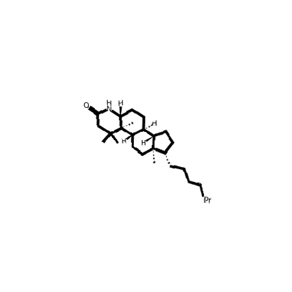 CC(C)CCCC[C@H]1CC[C@H]2[C@@H]3CC[C@H]4NC(=O)CC(C)(C)[C@]4(C)[C@H]3CC[C@]12C